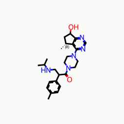 Cc1ccc(C(CNC(C)C)C(=O)N2CCN(c3ncnc4c3[C@H](C)CC4O)CC2)cc1